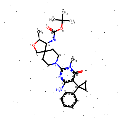 C[C@@H]1OCC2(CCN(c3nc(N)c(C4(c5ccccc5)CC4)c(=O)n3C)CC2)[C@@H]1NC(=O)OC(C)(C)C